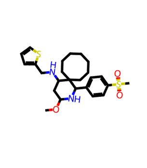 COC1CC(NCc2cccs2)C2(CCCCCCC2)C(c2ccc(S(C)(=O)=O)cc2)N1